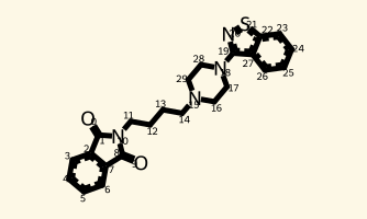 O=C1c2ccccc2C(=O)N1CCCCN1CCN(c2nsc3ccccc23)CC1